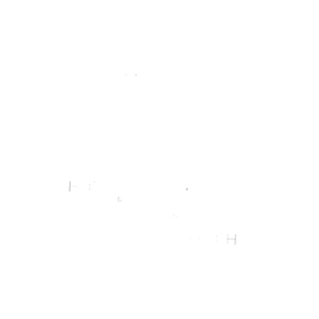 COC(=O)C[C@H](C)CCCO